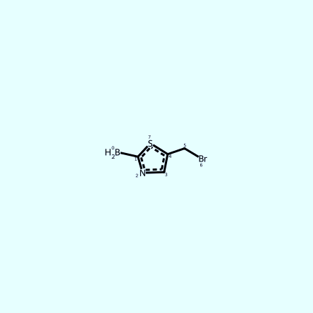 Bc1ncc(CBr)s1